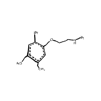 CC(=O)Oc1cc(C(C)C)c(OCCNC(C)C)cc1C